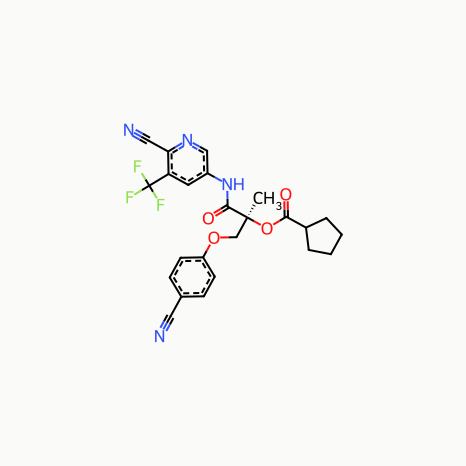 C[C@@](COc1ccc(C#N)cc1)(OC(=O)C1CCCC1)C(=O)Nc1cnc(C#N)c(C(F)(F)F)c1